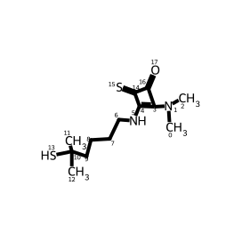 CN(C)c1c(NCCCCC(C)(C)S)c(=S)c1=O